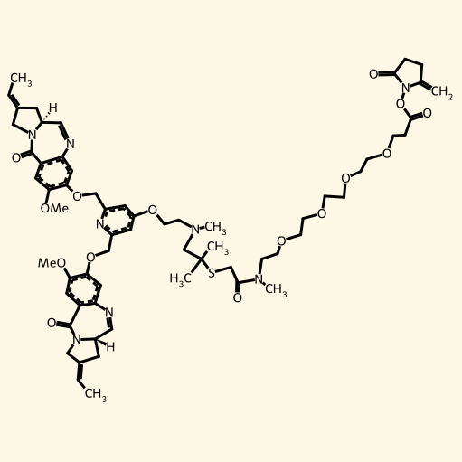 C=C1CCC(=O)N1OC(=O)CCOCCOCCOCCOCCN(C)C(=O)CSC(C)(C)CN(C)CCOc1cc(COc2cc3c(cc2OC)C(=O)N2C/C(=C/C)C[C@H]2C=N3)nc(COc2cc3c(cc2OC)C(=O)N2C/C(=C/C)C[C@H]2C=N3)c1